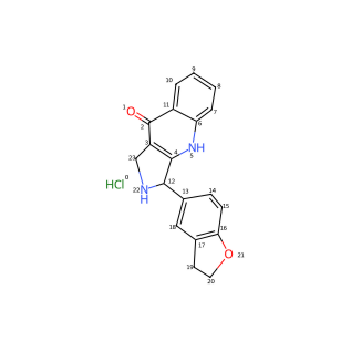 Cl.O=c1c2c([nH]c3ccccc13)C(c1ccc3c(c1)CCO3)NC2